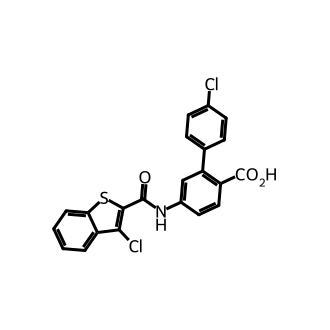 O=C(O)c1ccc(NC(=O)c2sc3ccccc3c2Cl)cc1-c1ccc(Cl)cc1